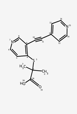 CC(C)(Sc1ccncc1C#Cc1ccncc1)C(=O)O